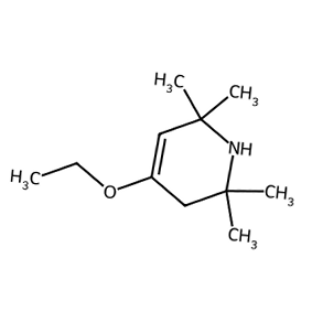 CCOC1=CC(C)(C)NC(C)(C)C1